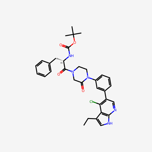 CCc1c[nH]c2ncc(-c3cccc(N4CCN(C(=O)[C@H](Cc5ccccc5)NC(=O)OC(C)(C)C)CC4=O)c3)c(Cl)c12